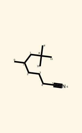 CC(CCCC#N)CC(C)(C)C